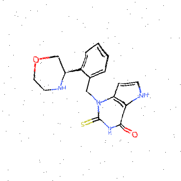 O=c1[nH]c(=S)n(Cc2ccccc2[C@@H]2COCCN2)c2cc[nH]c12